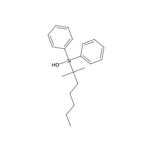 CCCCCC(C)(C)[Si](O)(c1ccccc1)c1ccccc1